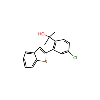 CC(C)(O)c1ccc(Cl)cc1-c1cc2ccccc2s1